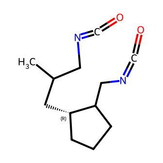 CC(CN=C=O)C[C@H]1CCCC1CN=C=O